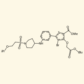 COC(=O)c1sc(-c2cccc(NC3CCN(S(=O)(=O)CCOC(C)C)CC3)c2)c(Br)c1OCC(=O)OC(C)(C)C